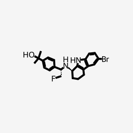 CC(C)(O)c1ccc([C@@H](CF)N[C@@H]2CCCc3c2[nH]c2ccc(Br)cc32)cc1